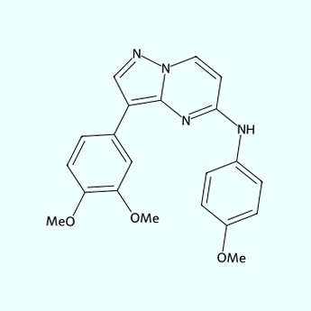 COc1ccc(Nc2ccn3ncc(-c4ccc(OC)c(OC)c4)c3n2)cc1